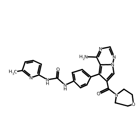 Cc1cccc(NC(=O)Nc2ccc(-c3c(C(=O)N4CCOCC4)cn4ncnc(N)c34)cc2)n1